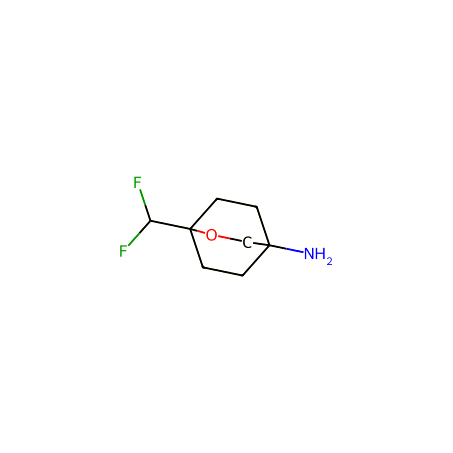 NC12CCC(C(F)F)(CC1)OC2